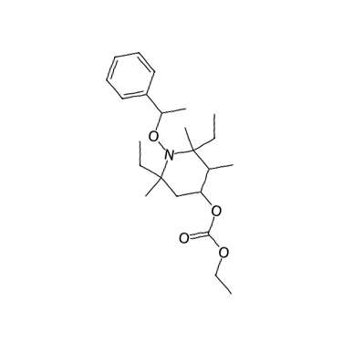 CCOC(=O)OC1CC(C)(CC)N(OC(C)c2ccccc2)C(C)(CC)C1C